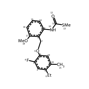 CCc1cc(F)c(OCc2c(NC(=O)SC)cccc2OC)cc1C